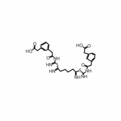 N=C(CCCCC(=N)SC(=N)NC(=O)Cc1cccc(CC(=O)O)c1)SC(=N)NC(=O)Cc1cccc(CC(=O)O)c1